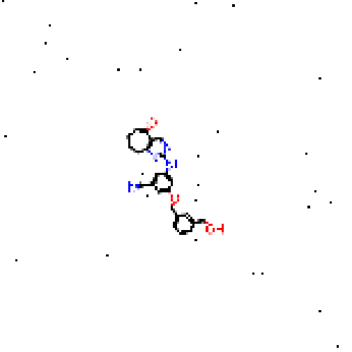 N#Cc1cc(Nc2ncc3c(n2)CCCCC3=O)cc(OCc2cccc(CO)c2)c1